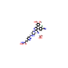 COc1ccc(-c2cnc(N3CCC(NCc4ccc(/C=C/C(=O)NO)nn4)CC3)c(C#N)c2-c2ccc(C#N)c(F)c2)cc1O.O=CO